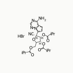 Br.CC(C)C(=O)OCC1O[C@@](C#N)(c2ccc3c(N)ncnn23)[C@H](OC(=O)C(C)C)[C@@H]1OC(=O)C(C)C